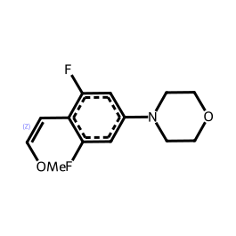 CO/C=C\c1c(F)cc(N2CCOCC2)cc1F